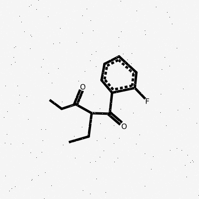 CCC(=O)C(CC)C(=O)c1ccccc1F